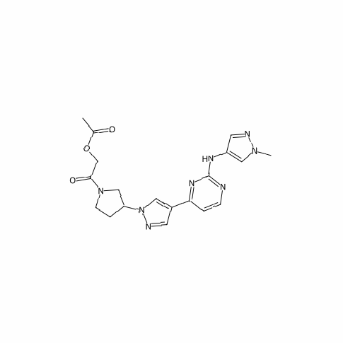 CC(=O)OCC(=O)N1CCC(n2cc(-c3ccnc(Nc4cnn(C)c4)n3)cn2)C1